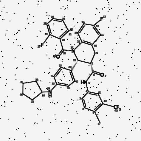 Cc1ccc(NC(=O)[C@H]2Cc3cc(F)ccc3N(C(=O)c3c(C)cccc3F)[C@H]2c2ccc(NC3CCCC3)cc2)cc1C(F)(F)F